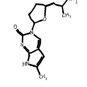 Cc1cc2cn(C3CCC(CC(C)C)O3)c(=O)nc2[nH]1